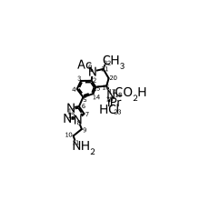 CC(=O)N1c2ccc(-c3cn(CCN)nn3)cc2[C@H](N(C(=O)O)C(C)C)C[C@@H]1C.Cl